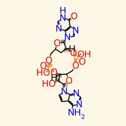 Nc1ncnc2c1ccn2[C@@H]1OC2COP(=O)(O)O[C@@H]3CC(COP(=O)(O)O[C@H]2[C@H]1O)O[C@H]3n1cnc2c(=O)[nH]cnc21